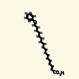 O=C(O)CCCCCCCCCCCCCCCCCOc1ccccc1